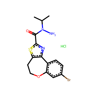 CC(C)N(N)C(=O)c1nc2c(s1)CCOc1cc(Br)ccc1-2.Cl